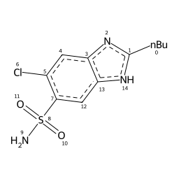 CCCCc1nc2cc(Cl)c(S(N)(=O)=O)cc2[nH]1